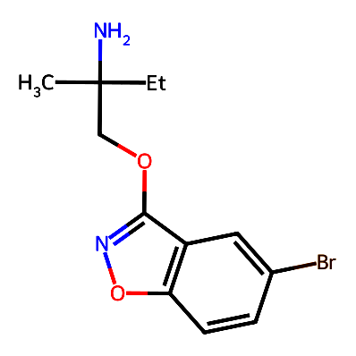 CCC(C)(N)COc1noc2ccc(Br)cc12